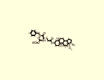 CC(=O)[C@H]1CCC2C3CC[C@@H]4C[C@H](OC(=O)CC[C@H](NC(=O)OC(C)(C)C)C(=O)OCc5ccccc5)CC[C@]4(C)C3CC[C@@]21C